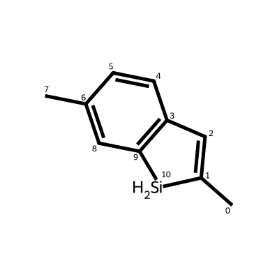 CC1=Cc2ccc(C)cc2[SiH2]1